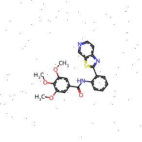 COc1cc(C(=O)Nc2ccccc2-c2nc3ccncc3s2)cc(OC)c1OC